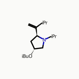 C=C(C(C)C)[C@@H]1C[C@@H](OCC(C)C)CN1C(C)C